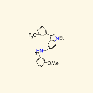 CCn1cc(-c2cccc(C(F)(F)F)c2)c2cc(CN[C@H](C)c3cccc(OC)c3)ccc21